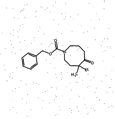 CCC1(C)CCN(C(=O)OCc2ccccc2)CCCC1=O